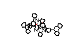 c1ccc(C2=NC(c3ccccc3-n3c4ccccc4c4cc(C5Cc6ccccc6-c6ccccc65)ccc43)NC(c3ccccc3-n3c4ccccc4c4cc(-n5c6ccccc6c6ccccc65)ccc43)=N2)cc1